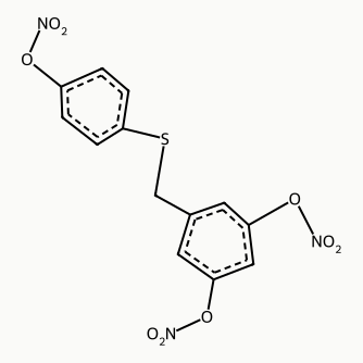 O=[N+]([O-])Oc1ccc(SCc2cc(O[N+](=O)[O-])cc(O[N+](=O)[O-])c2)cc1